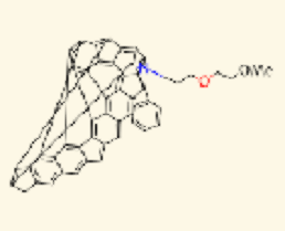 COCCOCCN1CC2C3=c4c5c6c7c(cc8cc9cc%10cc%11cc%12c%13c(c4c4c5c5c7c8c7c9c%10c8c%11c%13c4c8c75)=C(C3)C%12)CC62C1c1ccccc1